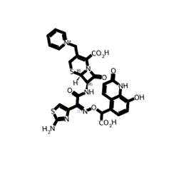 Nc1nc(/C(=N/OC(C(=O)O)c2ccc(O)c3[nH]c(=O)ccc23)C(=O)N[C@@H]2C(=O)N3C(C(=O)O)=C(C[n+]4ccccc4)CS[C@H]23)cs1